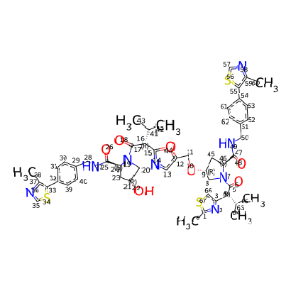 Cc1nc([C@H](C(=O)N2C[C@H](OCc3cnc([C@H](C(=O)N4C[C@H](O)C[C@H]4C(=O)NCc4ccc(-c5scnc5C)cc4)C(C)C)o3)C[C@H]2C(=O)NCc2ccc(-c3scnc3C)cc2)C(C)C)cs1